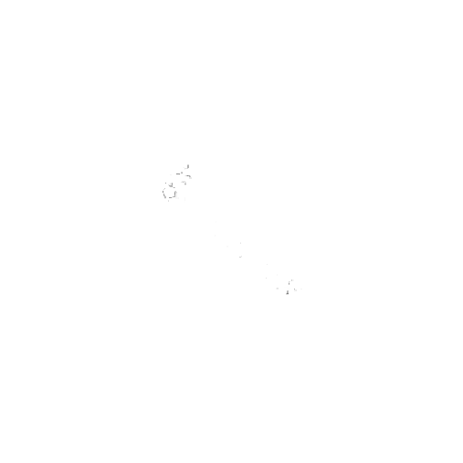 CCCCCCCCCCCCCCCCCS(=O)(=O)O.O=S(=O)(O)O.c1c[nH]cn1